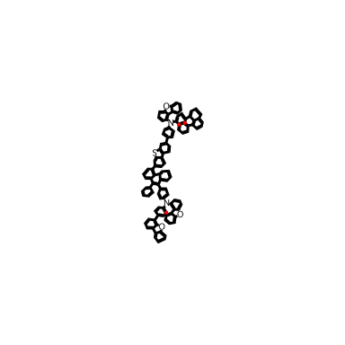 c1ccc(-c2c(-c3ccc(N(c4ccc(-c5cccc6c5oc5ccccc56)cc4)c4cccc5oc6ccccc6c45)cc3)c3ccccc3c3c(-c4ccc5c(c4)sc4cc(-c6ccc(N(c7ccc(-c8cccc9cccc(-c%10ccccc%10)c89)cc7)c7cccc8oc9ccccc9c78)cc6)ccc45)cccc23)cc1